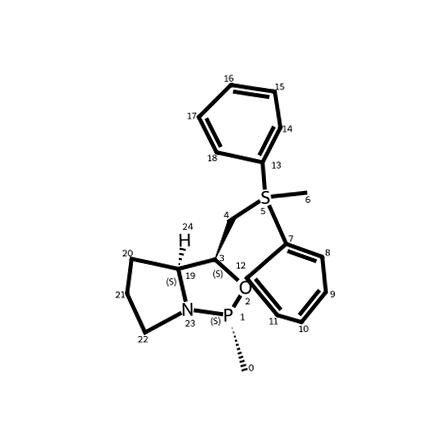 C[P@@]1O[C@H](CS(C)(c2ccccc2)c2ccccc2)[C@@H]2CCCN21